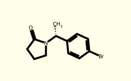 C[C@H](c1ccc(Br)cc1)N1CCCC1=O